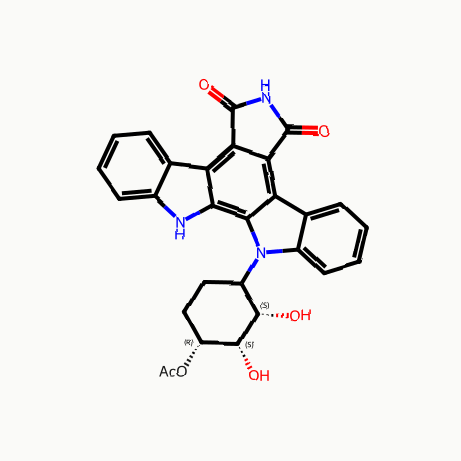 CC(=O)O[C@@H]1CCC(n2c3ccccc3c3c4c(c5c6ccccc6[nH]c5c32)C(=O)NC4=O)[C@H](O)[C@@H]1O